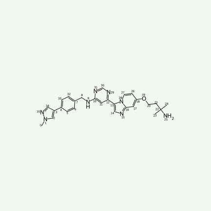 Cn1cc(-c2ccc(CNc3cc(-c4cnc5cc(OCCC(C)(C)N)ccn45)ncn3)cc2)cn1